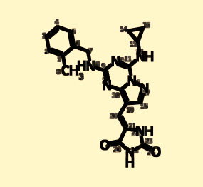 Cc1ccccc1CNc1nc(NC2CC2)n2ncc(/C=C3\NC(=O)NC3=O)c2n1